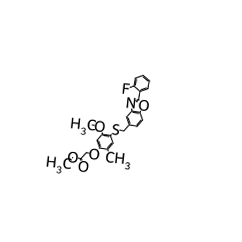 COC(=O)COc1cc(OC)c(SCc2ccc3oc(-c4ccccc4F)nc3c2)cc1C